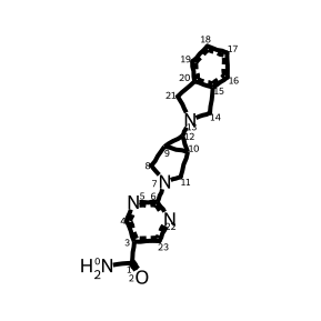 NC(=O)c1cnc(N2CC3C(C2)C3N2Cc3ccccc3C2)nc1